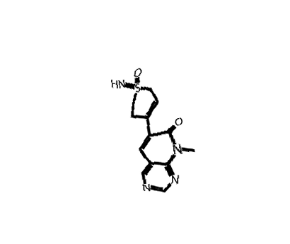 Cn1c(=O)c(C2=CCS(=N)(=O)CC2)cc2cncnc21